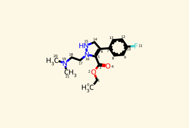 CCOC(=O)C1=C(c2ccc(F)cc2)CNN1CCN(C)C